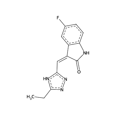 CCc1nnc(/C=C2\C(=O)Nc3ccc(F)cc32)[nH]1